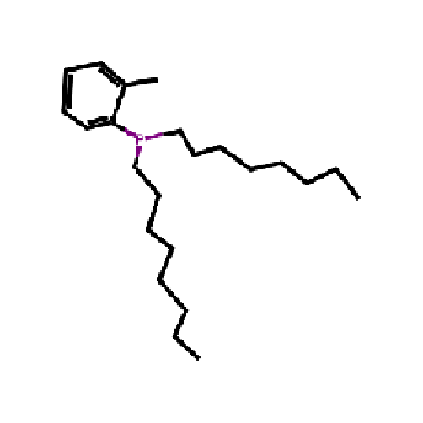 CCCCCCCCP(CCCCCCCC)c1ccccc1C